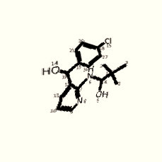 CC(C)(C)C(O)Nc1ncccc1C(O)c1ccc(Cl)cc1